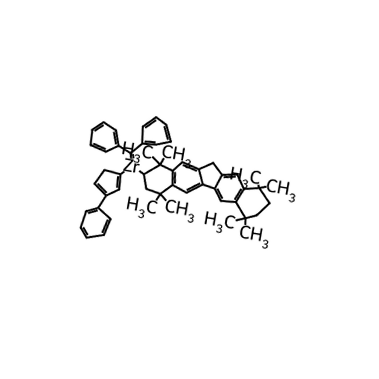 CC1(C)CCC(C)(C)c2cc3c(cc21)Cc1cc2c(cc1-3)C(C)(C)C[CH]([Zr]([C]1=CC(c3ccccc3)=CC1)=[C](c1ccccc1)c1ccccc1)C2(C)C